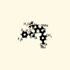 COc1ncc(-c2ccc(C(=O)OC(C)(C)C)cc2C)cc1-c1cnc(S(C)(=O)=O)nc1CN1C(=O)O[C@H](c2cc(F)cc(C(F)(F)F)c2)[C@@H]1C